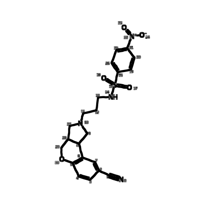 N#Cc1ccc2c(c1)C1CN(CCCNS(=O)(=O)c3ccc([N+](=O)[O-])cc3)CC1CO2